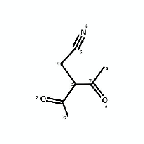 CC(=O)C(CC#N)C(C)=O